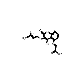 CC(C)=CCOc1c(O)c2c(OCC(=O)O)cccc2oc1=O